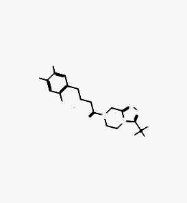 Cl.N[C@@H](CC(=O)N1CCn2c(nnc2C(F)(F)F)C1)Cc1cc(F)c(F)cc1F.O